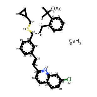 CC(=O)OC(C)(C)c1ccccc1CC[C@@H](SCC1CC1)c1cccc(C=Cc2ccc3ccc(Cl)cc3n2)c1.[CaH2]